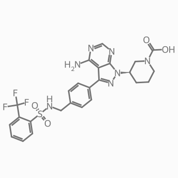 Nc1ncnc2c1c(-c1ccc(CNS(=O)(=O)c3ccccc3C(F)(F)F)cc1)nn2[C@@H]1CCCN(C(=O)O)C1